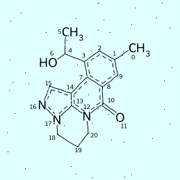 Cc1cc(C(C)O)c2c(c1)c(=O)n1c3c2cnn3CCC1